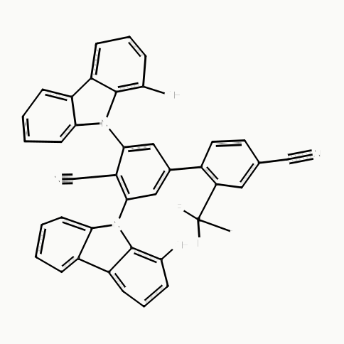 Cc1cccc2c3ccccc3n(-c3cc(-c4ccc(C#N)cc4C(F)(F)F)cc(-n4c5ccccc5c5cccc(C)c54)c3C#N)c12